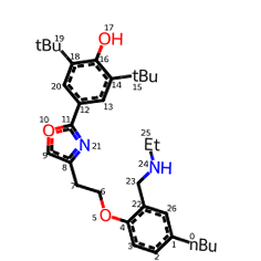 CCCCc1ccc(OCCc2coc(-c3cc(C(C)(C)C)c(O)c(C(C)(C)C)c3)n2)c(CNCC)c1